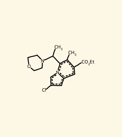 CCOC(=O)c1cc2cc(Cl)cn2c(C(C)N2CCOCC2)c1C